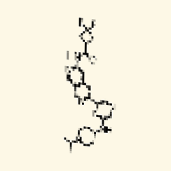 CC(C)N1CCC(Nc2cncc(-c3cc4cc(NC(=O)C5CC(F)(F)C5)ncc4cn3)n2)CC1